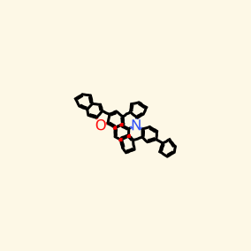 c1ccc(-c2ccc(N(c3ccccc3)c3ccccc3-c3ccc4oc5cc6ccccc6cc5c4c3)c(-c3ccccc3)c2)cc1